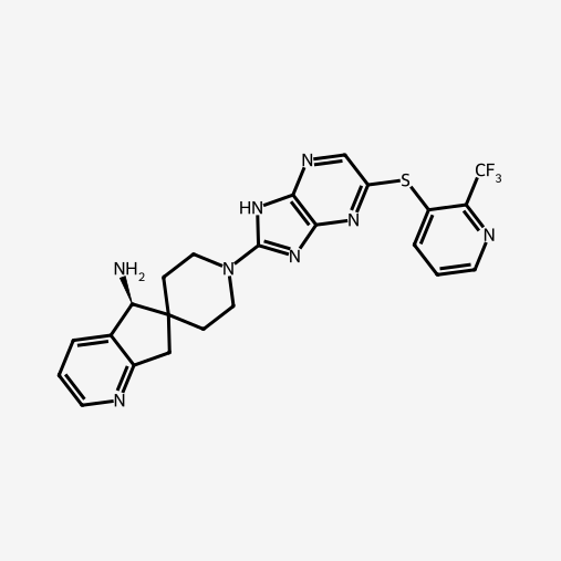 N[C@@H]1c2cccnc2CC12CCN(c1nc3nc(Sc4cccnc4C(F)(F)F)cnc3[nH]1)CC2